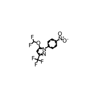 O=[N+]([O-])c1ccc(-n2nc(C(F)(F)F)cc2OC(F)F)cc1